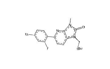 CCc1ccc(-c2ccc3c(n2)n(C)c(=O)n3CC(C)(C)C)c(F)c1